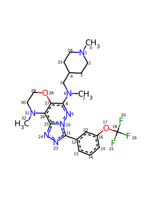 CN1CCC(CN(C)c2nn3c(-c4cccc(OC(F)(F)F)c4)nnc3c3c2OCCN3C)CC1